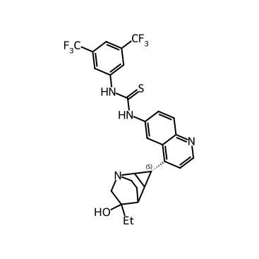 CCC1(O)CN2CCC1C1C2[C@@H]1c1ccnc2ccc(NC(=S)Nc3cc(C(F)(F)F)cc(C(F)(F)F)c3)cc12